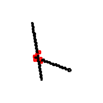 CCCCCC=CCC=CCC=CCC=CCCCC(=O)OCC(C(=O)O)C(CCCCCCCCCCCCC)OC(=O)CCCC=CCC=CCC=CCC=CCCCCC